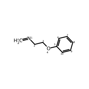 C=NCCOc1ccccc1